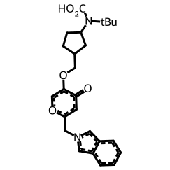 CC(C)(C)N(C(=O)O)C1CCC(COc2coc(Cn3cc4ccccc4c3)cc2=O)C1